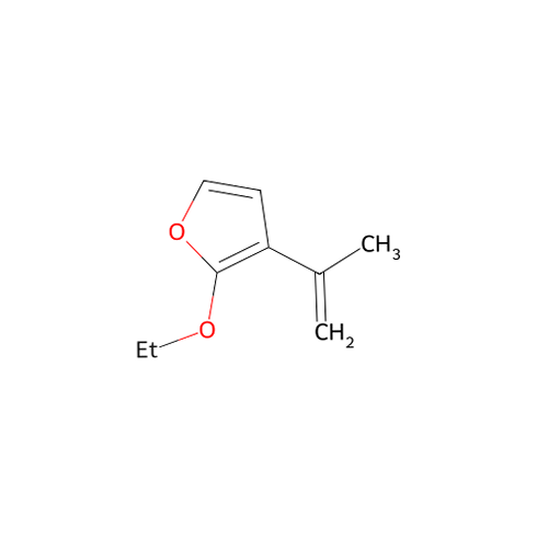 C=C(C)c1ccoc1OCC